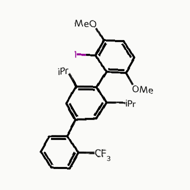 COc1ccc(OC)c(-c2c(C(C)C)cc(-c3ccccc3C(F)(F)F)cc2C(C)C)c1I